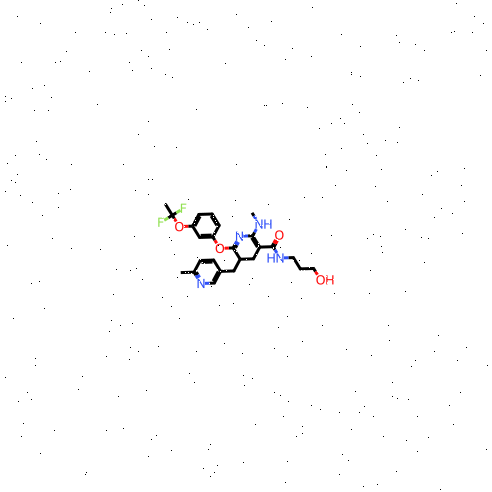 CNC1=C(C(=O)NCCCO)CC(Cc2ccc(C)nc2)C(Oc2cccc(OC(C)(F)F)c2)=N1